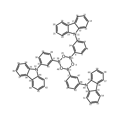 c1cc(B2OB(c3cccc(-n4c5ccccc5c5ccccc54)c3)OB(c3cccc(-n4c5ccccc5c5ccccc54)c3)O2)cc(-n2c3ccccc3c3ccccc32)c1